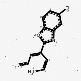 C=C/C=C(\C=C/C)c1nc2cc(Cl)ccc2o1